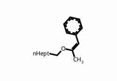 CCCCCCCCOC(C)=Cc1ccccc1